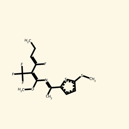 CC/C=C(F)/C(=C(\N=C(/C)c1ccc(SC)s1)OC)C(F)(F)F